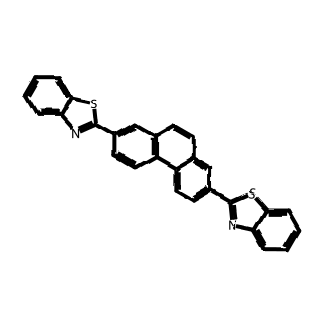 c1ccc2sc(-c3ccc4c(ccc5cc(-c6nc7ccccc7s6)ccc54)c3)nc2c1